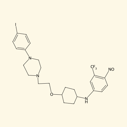 O=Nc1ccc(NC2CCC(OCCN3CCN(c4ccc(I)cc4)CC3)CC2)cc1C(F)(F)F